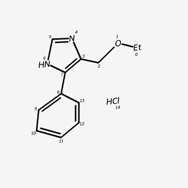 CCOCc1nc[nH]c1-c1ccccc1.Cl